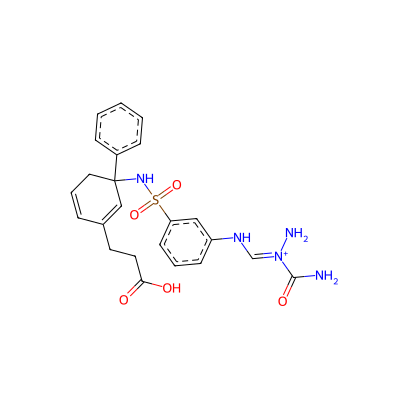 NC(=O)[N+](N)=CNc1cccc(S(=O)(=O)NC2(c3ccccc3)C=C(CCC(=O)O)C=CC2)c1